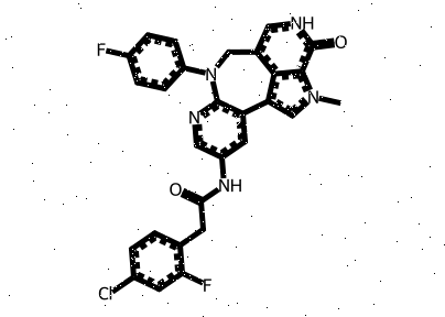 Cn1cc2c3c(c[nH]c(=O)c31)CN(c1ccc(F)cc1)c1ncc(NC(=O)Cc3ccc(Cl)cc3F)cc1-2